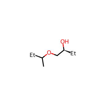 CCC(C)OC[C@@H](O)CC